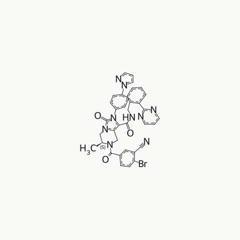 C[C@H]1Cn2c(c(C(=O)NCc3ccccc3-c3ncccn3)n(-c3ccc(-n4cccn4)cc3)c2=O)CN1C(=O)c1ccc(Br)c(C#N)c1